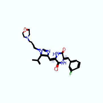 CC(C)c1c(/C=c2\[nH]c(=O)/c(=C/c3cccc(F)c3)[nH]c2=O)ncn1CCCN1CCOCC1